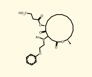 CC(=O)N(CCOc1ccccc1)C1CC(=O)O[C@H](C)CCCCCCCCC[C@H](OC(=O)CCC(=O)O)C1=O